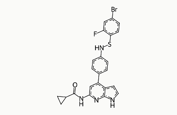 O=C(Nc1cc(-c2ccc(NSc3ccc(Br)cc3F)cc2)c2cc[nH]c2n1)C1CC1